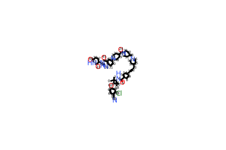 CC1(C)C(NC(=O)c2ccc(C#CCC3CCN(CC4CCN(C(=O)C5CCN(c6ccc7nnn(C8CCC(=O)NC8=O)c(=O)c7c6)CC5)CC4)CC3)cc2)C(C)(C)C1Oc1ccc(C#N)c(Cl)c1